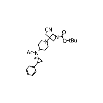 CC(=O)N(C1CCN(C2(CC#N)CN(C(=O)OC(C)(C)C)C2)CC1)[C@@H]1CC1c1ccccc1